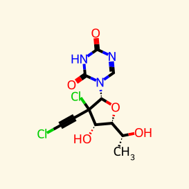 C[C@@H](O)[C@H]1O[C@@H](n2cnc(=O)[nH]c2=O)C(Cl)(C#CCl)[C@H]1O